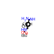 CC(=O)O.CC(C)(C)OC(=O)NCc1ccc(C(=N)N)cc1